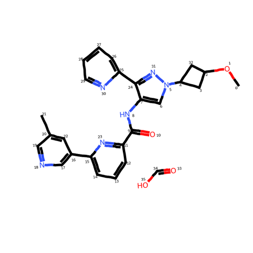 COC1CC(n2cc(NC(=O)c3cccc(-c4cncc(C)c4)n3)c(-c3ccccn3)n2)C1.O=CO